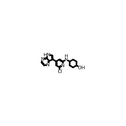 OC1CCC(Nc2cc(-c3c[nH]c4nccnc34)cc(Cl)n2)CC1